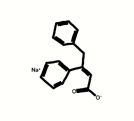 O=C([O-])C=C(Cc1ccccc1)c1ccccc1.[Na+]